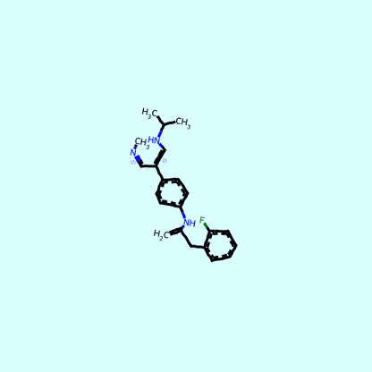 C=C(Cc1ccccc1F)Nc1ccc(C(/C=N\C)=C/NC(C)C)cc1